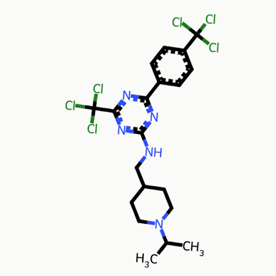 CC(C)N1CCC(CNc2nc(-c3ccc(C(Cl)(Cl)Cl)cc3)nc(C(Cl)(Cl)Cl)n2)CC1